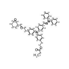 C=CC(=O)OCCc1ccc(N(c2ccc(C=NN(c3ccccc3)c3ccccc3)cc2)c2ccc(CCOCC3CCCC4OC34)cc2)cc1